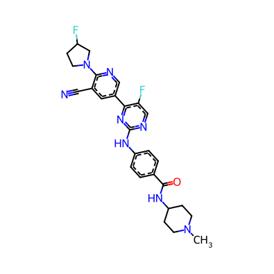 CN1CCC(NC(=O)c2ccc(Nc3ncc(F)c(-c4cnc(N5CCC(F)C5)c(C#N)c4)n3)cc2)CC1